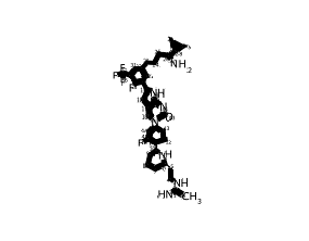 CC(=N)NCC[C@@H]1CCC[C@@H](c2ccc(-n3cc4cc(-c5cc(CCCC(N)C6CC6)cc(C(F)(F)F)c5F)[nH]c4nc3=O)cc2F)N1